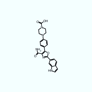 NC(=O)c1nc(-c2ccc3cc[nH]c3c2)oc1-c1ccc(N2CCN(C(=O)O)CC2)cc1